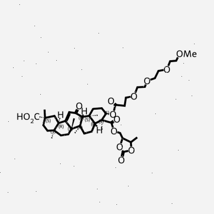 COCCOCCOCCOCCC(=O)O[C@H]1CC[C@@]2(C)[C@@H](CC[C@]3(C)[C@@H]2C(=O)C=C2[C@@H]4C[C@@](C)(C(=O)O)CC[C@]4(C)CC[C@]23C)[C@]1(C)C(=O)OCC1OC(=O)OC1C